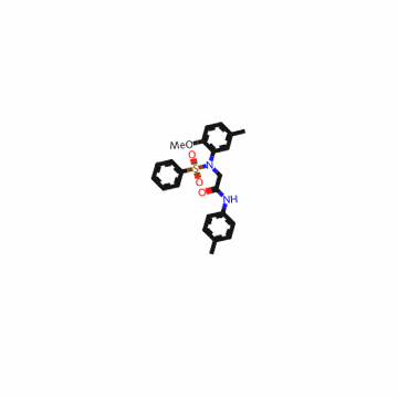 COc1ccc(C)cc1N(CC(=O)Nc1ccc(C)cc1)S(=O)(=O)c1ccccc1